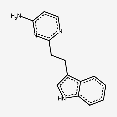 Nc1ccnc(CCc2c[nH]c3ccccc23)n1